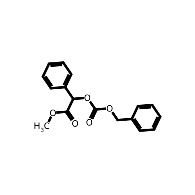 COC(=O)C(OC(=O)OCc1ccccc1)c1ccccc1